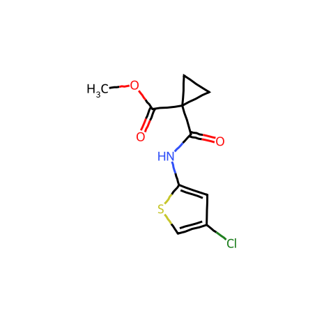 COC(=O)C1(C(=O)Nc2cc(Cl)cs2)CC1